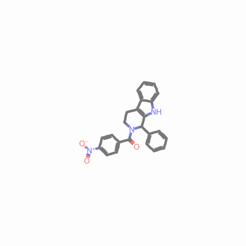 O=C(c1ccc([N+](=O)[O-])cc1)N1CCc2c([nH]c3ccccc23)C1c1ccccc1